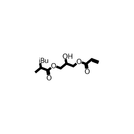 C=CC(=O)OCC(O)COC(=O)C(C)C(C)CC